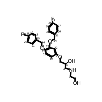 OCCNC[C@H](O)COc1ccc(OCc2ccc(F)cc2)c(OCc2ccc(F)cc2)c1